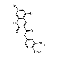 COc1ccc(CC(=O)c2cc3c(Br)cc(Br)cc3[nH]c2=O)cc1[N+](=O)[O-]